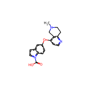 CN1CCc2nccc(Oc3ccc4c(ccn4C(=O)O)c3)c2C1